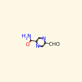 NC(=O)c1cnc(C=O)cn1